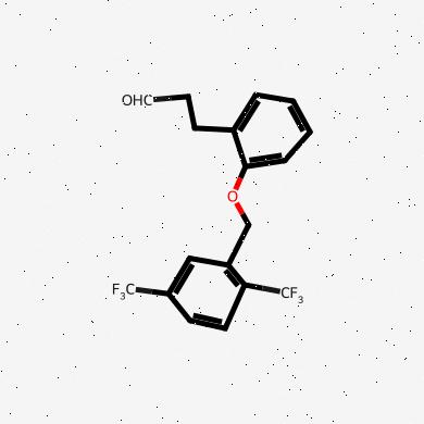 O=CCCc1ccccc1OCc1cc(C(F)(F)F)ccc1C(F)(F)F